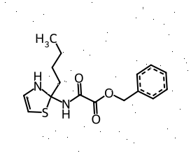 CCCCC1(NC(=O)C(=O)OCc2ccccc2)NC=CS1